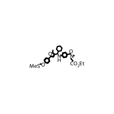 CCOC(=O)CCN(C)C(=O)c1ccc(NC(c2cc(-c3ccc(OCSC)cc3)oc2C)C2CCCCC2)cc1